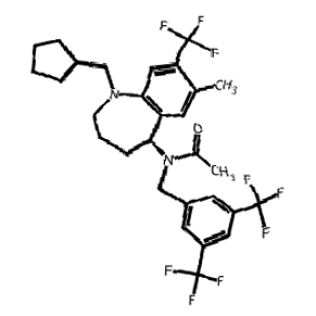 CC(=O)N(Cc1cc(C(F)(F)F)cc(C(F)(F)F)c1)[C@H]1CCCN(CC2CCCC2)c2cc(C(F)(F)F)c(C)cc21